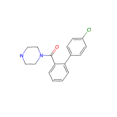 O=C(c1ccccc1-c1ccc(Cl)cc1)N1CC[N]CC1